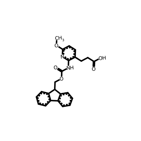 COc1ccc(CCC(=O)O)c(NC(=O)OCC2c3ccccc3-c3ccccc32)n1